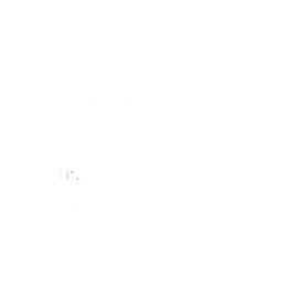 O=C(O)CCC1NC(=O)CC1c1ccc(Cl)cc1